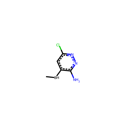 CBc1cc(Cl)nnc1N